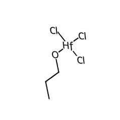 CCC[O][Hf]([Cl])([Cl])[Cl]